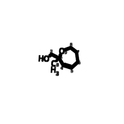 C[C@]1(CO)C=CCCCO1